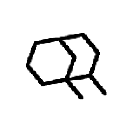 CC1CCC2CCCC1(C)C2